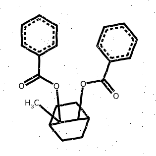 CC1(OC(=O)c2ccccc2)C2CCC(CC2)C1OC(=O)c1ccccc1